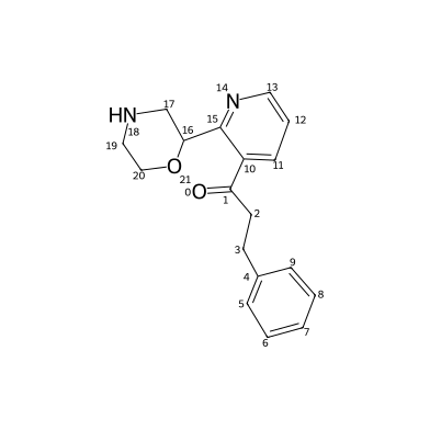 O=C(CCc1ccccc1)c1cccnc1C1CNCCO1